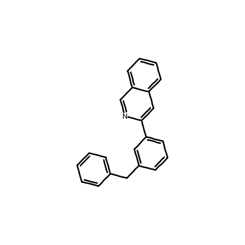 c1ccc(Cc2cccc(-c3cc4ccccc4cn3)c2)cc1